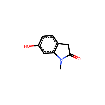 CN1C(=O)Cc2ccc(O)cc21